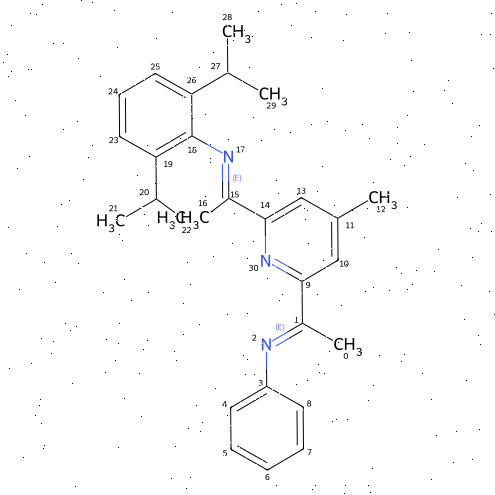 C/C(=N\c1ccccc1)c1cc(C)cc(/C(C)=N/c2c(C(C)C)cccc2C(C)C)n1